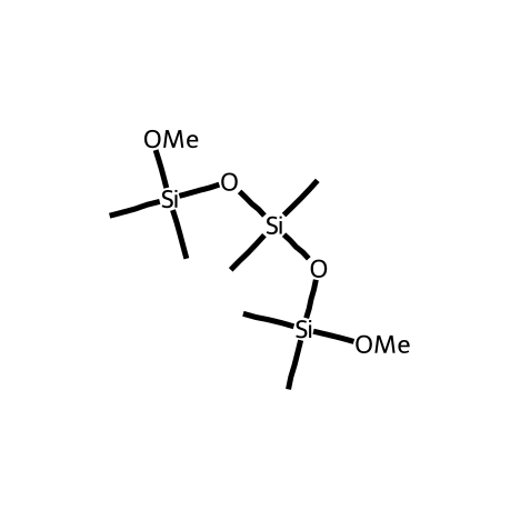 CO[Si](C)(C)O[Si](C)(C)O[Si](C)(C)OC